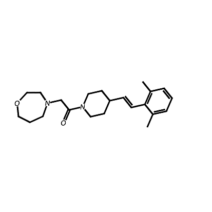 Cc1cccc(C)c1C=CC1CCN(C(=O)CN2CCCOCC2)CC1